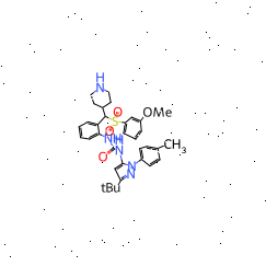 COc1cccc(S(=O)(=O)C(c2ccccc2NC(=O)Nc2cc(C(C)(C)C)nn2-c2ccc(C)cc2)C2CCNCC2)c1